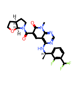 C[C@@H](Nc1ncnc2c1cc(C(=O)N1CC[C@@H]3CCO[C@@H]31)c(=O)n2C)c1cccc(C(F)F)c1F